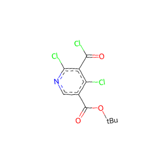 CC(C)(C)OC(=O)c1cnc(Cl)c(C(=O)Cl)c1Cl